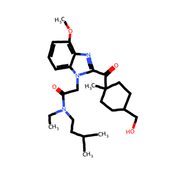 CCN(CCC(C)C)C(=O)Cn1c(C(=O)C2(C)CCC(CO)CC2)nc2c(OC)cccc21